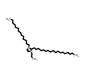 CCCCCCCCCCCCCCCCCCc1n(CCCCCCCCCCCCCC)cc[n+]1CCC